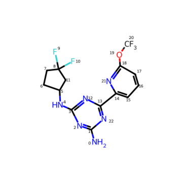 Nc1nc(NC2CCC(F)(F)C2)nc(-c2cccc(OC(F)(F)F)n2)n1